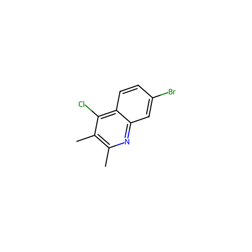 Cc1nc2cc(Br)ccc2c(Cl)c1C